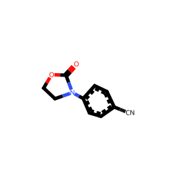 N#Cc1ccc(N2CCOC2=O)cc1